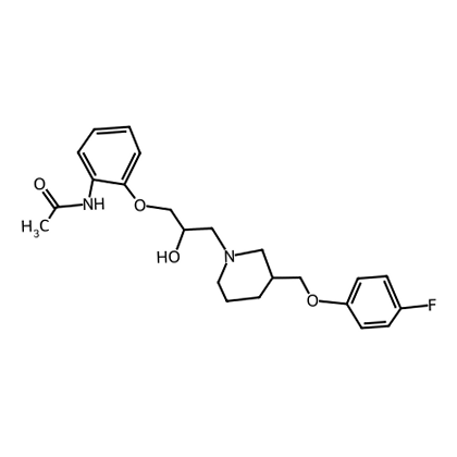 CC(=O)Nc1ccccc1OCC(O)CN1CCCC(COc2ccc(F)cc2)C1